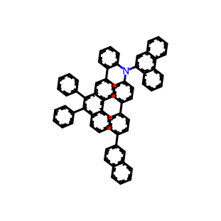 c1ccc(-c2c(-c3ccccc3)c3cc(-c4ccccc4N(c4ccc(-c5ccc(-c6ccc7ccccc7c6)cc5)cc4)c4cc5ccccc5c5ccccc45)ccc3c3ccccc23)cc1